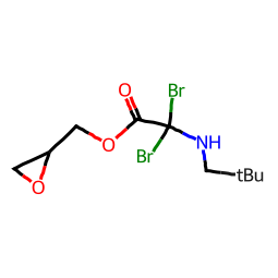 CC(C)(C)CNC(Br)(Br)C(=O)OCC1CO1